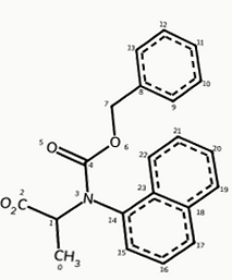 CC(C(=O)O)N(C(=O)OCc1ccccc1)c1cccc2ccccc12